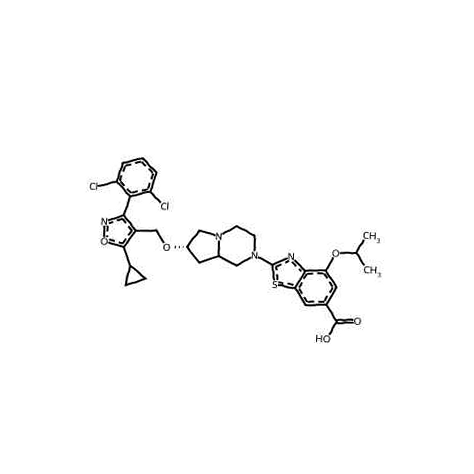 CC(C)Oc1cc(C(=O)O)cc2sc(N3CCN4C[C@@H](OCc5c(-c6c(Cl)cccc6Cl)noc5C5CC5)CC4C3)nc12